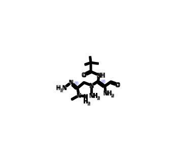 CN(N)/C(CN(N)/C(NC(=O)C(C)(C)C)=C(\N)C=O)=N\N